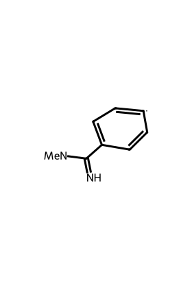 CNC(=N)c1cc[c]cc1